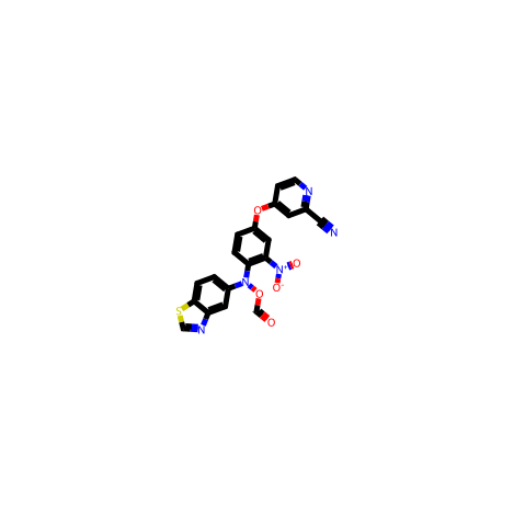 N#Cc1cc(Oc2ccc(N(O[C]=O)c3ccc4scnc4c3)c([N+](=O)[O-])c2)ccn1